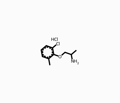 Cc1cccc(Cl)c1OCC(C)N.Cl